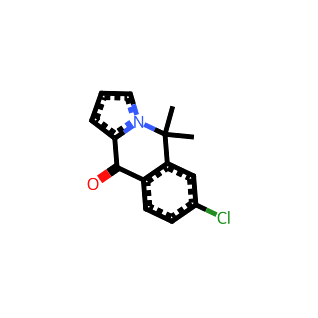 CC1(C)c2cc(Cl)ccc2C(=O)c2cccn21